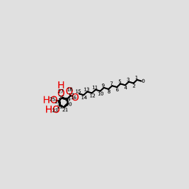 CCCCCCCCCCCCCCCCOC(=O)c1ccc(O)c(O)c1O